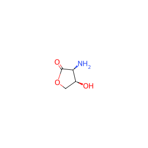 N[C@@H]1C(=O)OC[C@@H]1O